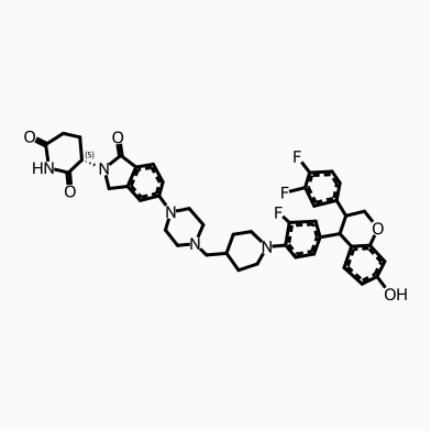 O=C1CC[C@H](N2Cc3cc(N4CCN(CC5CCN(c6ccc(C7c8ccc(O)cc8OCC7c7ccc(F)c(F)c7)cc6F)CC5)CC4)ccc3C2=O)C(=O)N1